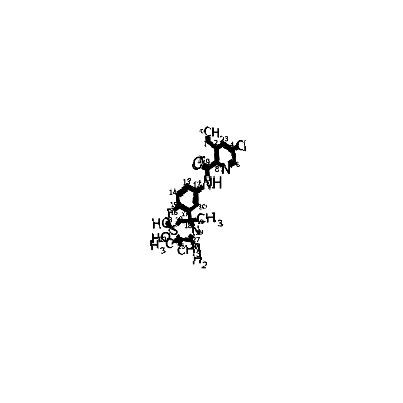 C=Cc1cc(Cl)cnc1C(=O)Nc1ccc(F)c(C2(C)CS(O)(O)C(C)(C)C(N)=N2)c1